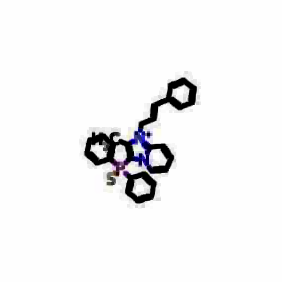 Cc1c(P(=S)(c2ccccc2)c2ccccc2)n2ccccc2[n+]1CC=Cc1ccccc1